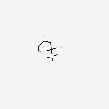 CCCCC[C@@H](CCl)CC(C)(C)[Si](C)(C)O